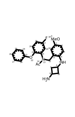 COc1ccc(NC2CC(N)C2)c(CN(C(C)=O)c2cc(F)ccc2Oc2ccccc2)c1